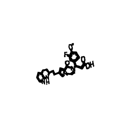 COc1ccc(C(CC(=O)O)N2CCn3cc(CCC4CCc5cccnc5N4)cc3C2=O)cc1F